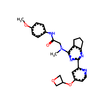 COc1ccc(NC(=O)CN(C)c2nc(-c3cc(OC4COC4)ccn3)nc3c2CCC3)cc1